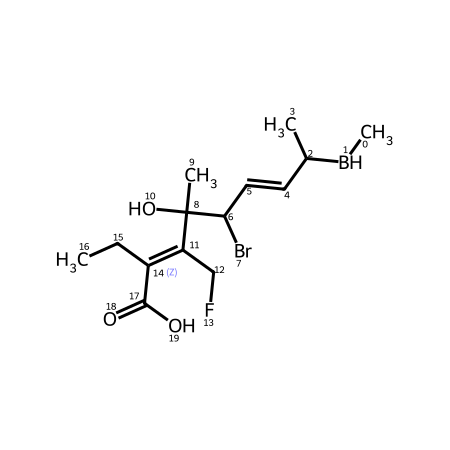 CBC(C)C=CC(Br)C(C)(O)/C(CF)=C(\CC)C(=O)O